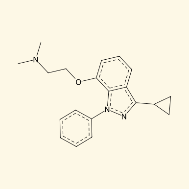 CN(C)CCOc1cccc2c(C3CC3)nn(-c3ccccc3)c12